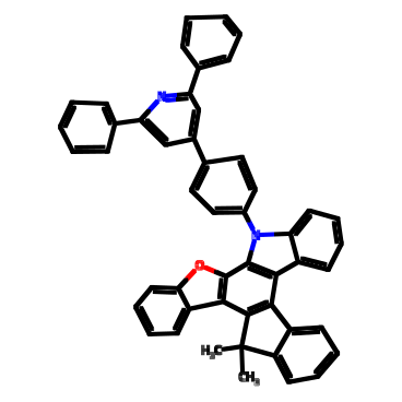 CC1(C)c2ccccc2-c2c1c1c3ccccc3oc1c1c2c2ccccc2n1-c1ccc(-c2cc(-c3ccccc3)nc(-c3ccccc3)c2)cc1